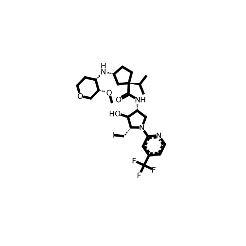 CO[C@@H]1COCC[C@@H]1N[C@@H]1CC[C@@](C(=O)N[C@@H]2CN(c3cc(C(F)(F)F)ccn3)[C@H](CI)C2O)(C(C)C)C1